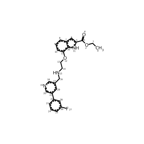 CCOC(=O)c1cc2cccc(OCCNCc3cncc(-c4cccc(F)c4)c3)c2[nH]1